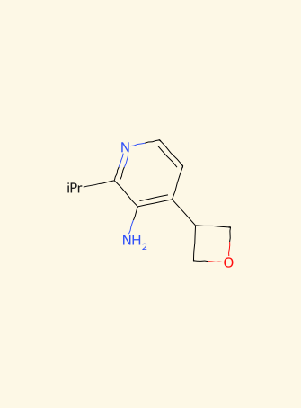 CC(C)c1nccc(C2COC2)c1N